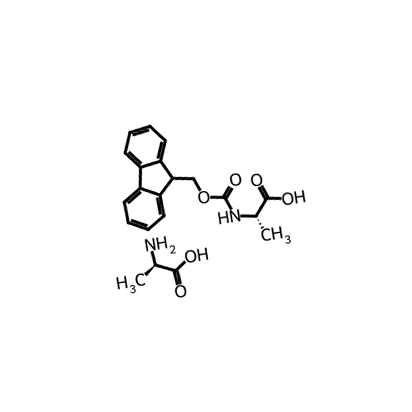 C[C@@H](N)C(=O)O.C[C@H](NC(=O)OCC1c2ccccc2-c2ccccc21)C(=O)O